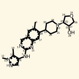 Cc1cc2cnc(Nc3cnn(C)c3C)nc2cc1C1CCN([C@H]2COC[C@H]2O)CC1